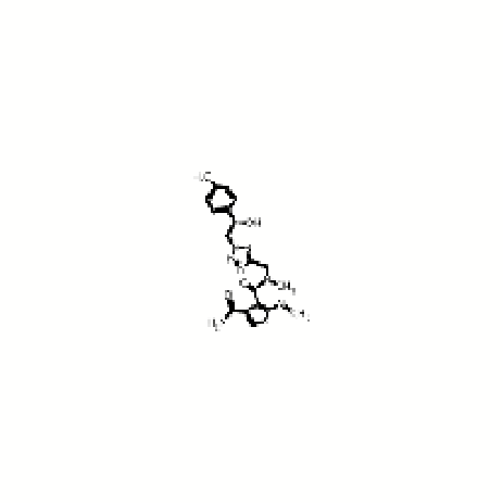 C=Nc1scc(C(N)=O)c1C(=O)N(C)Cc1nnn(C[C@H](O)c2ccc(C)cc2)n1